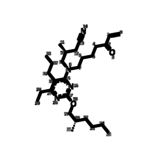 C=CC(=O)CCCCN(C[C@@H](C)CC#N)c1nc(OC[C@@H](C)CCCC)nc(CC)c1CCC